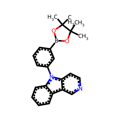 CC1(C)OB(c2cccc(-n3c4ccccc4c4cnccc43)c2)OC1(C)C